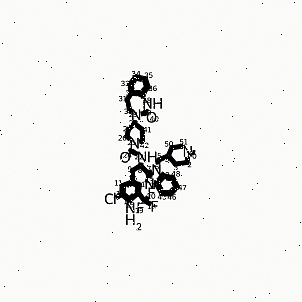 CN1CCC(Cn2c(C(Cc3cc(Cl)c(N)c(C(F)(F)F)c3)NC(=O)N3CCC(N4CCc5ccccc5NC4=O)CC3)nc3ccccc32)CC1